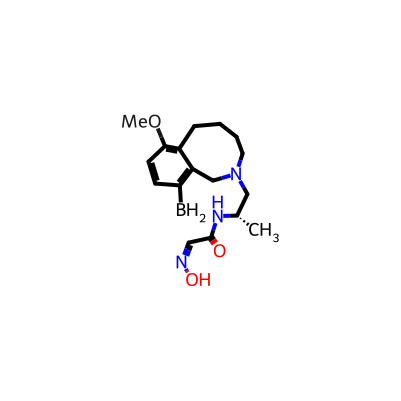 Bc1ccc(OC)c2c1CN(C[C@H](C)NC(=O)/C=N\O)CCCC2